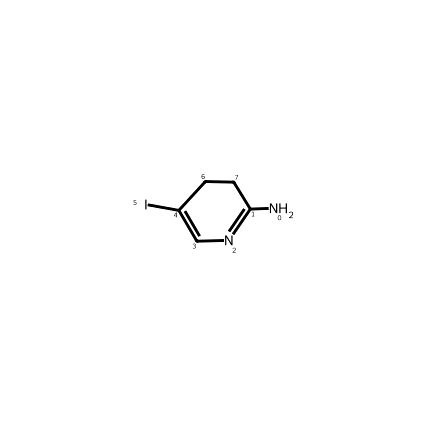 NC1=NC=C(I)CC1